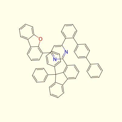 c1ccc(-c2ccc(-c3ccccc3-c3cc(-c4cccc5c4oc4ccccc45)nc(-c4cccc5c4C(c4ccccc4)(c4ccccc4)c4ccccc4-5)n3)cc2)cc1